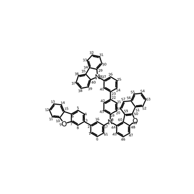 c1cc(-c2ccc3c(c2)oc2ccccc23)cc(N(c2ccc(-c3cccc(-n4c5ccccc5c5ccccc54)c3)cc2)c2cccc3oc4c5ccccc5ccc4c23)c1